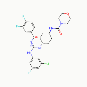 O=C(/N=C(/Nc1cc(F)cc(Cl)c1)N[C@H]1CC[C@H](NC(=O)N2CCOCC2)CC1)c1ccc(F)c(F)c1